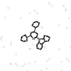 c1ccc(-c2cc(-c3ccccc3)nc(-n3c4ccccc4c4ccccc43)c2)cc1